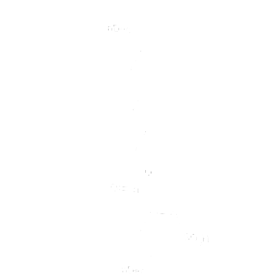 CCCCCCCCCCCCCCCCOC(=O)C(CCCCCCCCCCCC)OS(=O)(=O)O